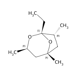 CC[C@@]12O[C@H](C)C[C@@](C)(C[C@H]1C)O2